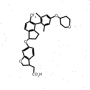 Cc1cc(OC2CCOCC2)cc(C)c1-c1c(C(F)(F)F)ccc2c1CC[C@H]2Oc1ccc2c(c1)OCC2CC(=O)O